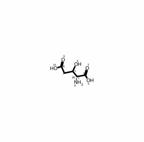 N[C@@H](C(=O)O)C(O)CC(=O)O